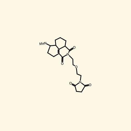 CNC1CCC2=C3C(CCCC31)C(=O)N(CCOCCN1C(=O)CCC1=O)C2=O